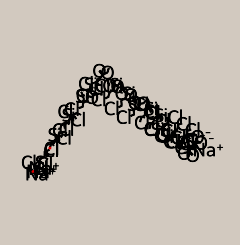 COC(=O)CC[Si](Cl)(Cl)Cl.CO[Si](C)(CCCCl)OC.CO[Si](C)(CCCCl)OC.CO[Si](C)(CCCCl)OC.CO[Si](C)(CCCCl)OC.C[Si](Cl)(Cl)CCCCl.C[Si](Cl)(Cl)CCCCl.C[Si](Cl)(Cl)CCCCl.C[Si](Cl)(Cl)CCCCl.ClCCC[Si](Cl)(Cl)Cl.ClCCC[Si](Cl)(Cl)Cl.ClCCC[Si](Cl)(Cl)Cl.ClCCC[Si](Cl)(Cl)Cl.O=C([O-])CC[Si]([O-])([O-])[O-].[Na+].[Na+].[Na+].[Na+]